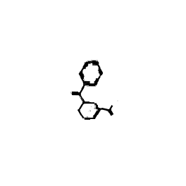 O=C(c1ccccc1)C1CC2C=CC1N(C(=O)O)C2